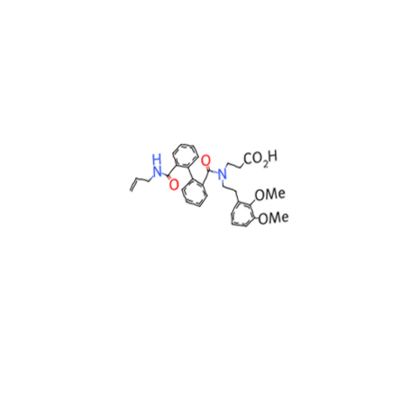 C=CCNC(=O)c1ccccc1-c1ccccc1C(=O)N(CCC(=O)O)CCc1cccc(OC)c1OC